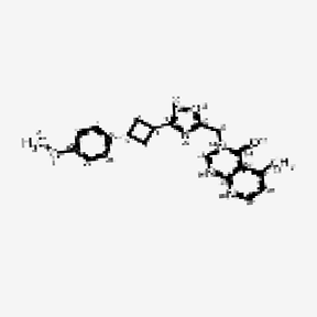 COc1ccc([C@H]2C[C@H](c3noc(Cn4cnc5nccc(C)c5c4=O)n3)C2)cc1